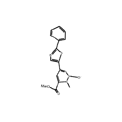 COC(=O)C1=CC(c2cnc(-c3ccccc3)s2)=N[S+]([O-])N1C